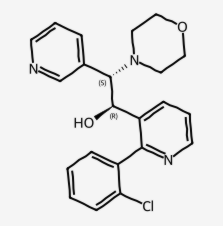 O[C@H](c1cccnc1-c1ccccc1Cl)[C@H](c1cccnc1)N1CCOCC1